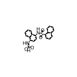 O=[SH](=O)Nc1ccc(NS(=O)(=O)c2cccc3ccccc23)c2ccccc12